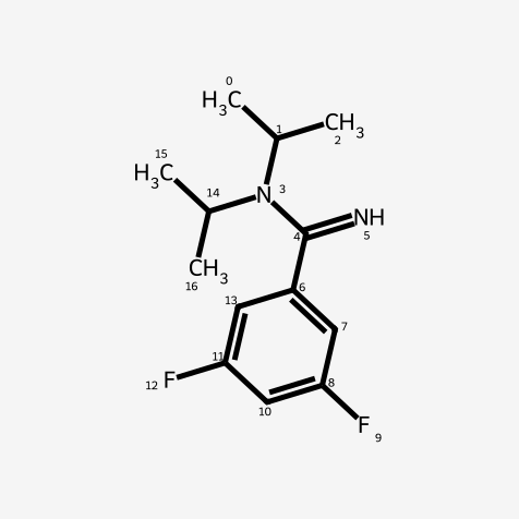 CC(C)N(C(=N)c1cc(F)cc(F)c1)C(C)C